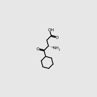 N[C@@H](CC(=O)O)C(=O)C1CCCCC1